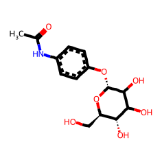 CC(=O)Nc1ccc(O[C@H]2O[C@H](CO)[C@@H](O)C(O)C2O)cc1